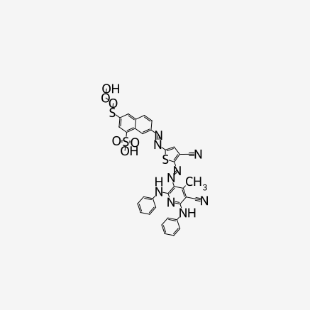 Cc1c(C#N)c(Nc2ccccc2)nc(Nc2ccccc2)c1N=Nc1sc(N=Nc2ccc3cc(SOOO)cc(S(=O)(=O)O)c3c2)cc1C#N